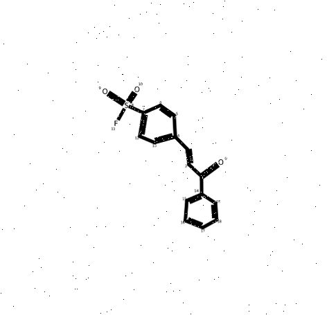 O=C(C=Cc1ccc(S(=O)(=O)F)cc1)c1ccccc1